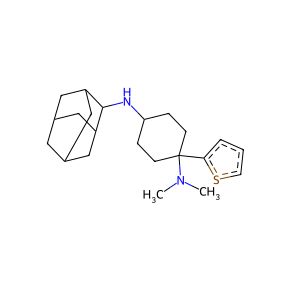 CN(C)C1(c2cccs2)CCC(NC2C3CC4CC(C3)CC2C4)CC1